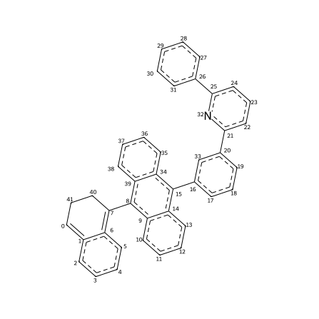 C1=c2ccccc2=C(c2c3ccccc3c(-c3cccc(-c4cccc(-c5ccccc5)n4)c3)c3ccccc23)CC1